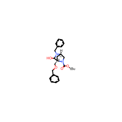 CC(C)(C)OC(=O)N1C[C@@H]2C[C@@]1(COCc1ccccc1)C(O)N2Cc1ccccc1